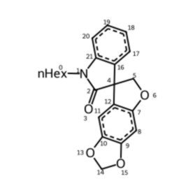 CCCCCCN1C(=O)C2(COc3cc4c(cc32)OCO4)c2ccccc21